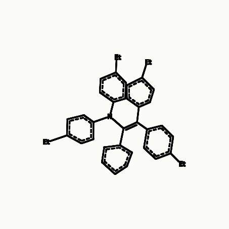 CCc1ccc(C(=C(c2ccccc2)N(c2ccc(CC)cc2)c2ccc(CC)cc2)c2ccc(CC)cc2)cc1